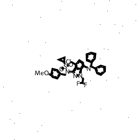 COc1ccc(CN(c2nn(CC(F)F)c3c(N=C(c4ccccc4)c4ccccc4)ccc(Cl)c23)S(=O)(=O)C2CC2)cc1